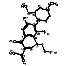 CN1CCN(c2c(F)cc3c(=O)c(C(=O)O)cn(CCF)c3c2F)C(CO)C1